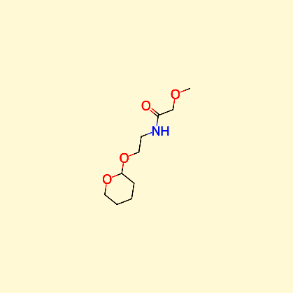 COCC(=O)NCCOC1CCCCO1